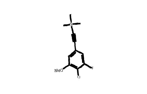 COc1cc(C#C[Si](C)(C)C)cc(F)c1Cl